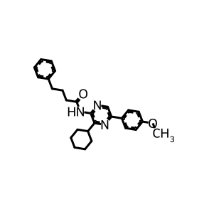 COc1ccc(-c2cnc(NC(=O)CCCc3ccccc3)c(C3CCCCC3)n2)cc1